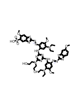 CCN(CC)c1cc(Nc2nc(Nc3cc(N(CC)CC)c(OC)cc3/N=N/c3nc4cc(S(=O)(=O)O)c(OC)cc4s3)nc(N(CCO)CCO)n2)c(/N=N/c2nc3ccc(OC)cc3s2)cc1OC